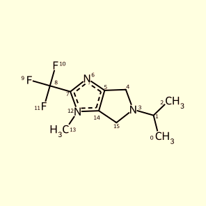 CC(C)N1Cc2nc(C(F)(F)F)n(C)c2C1